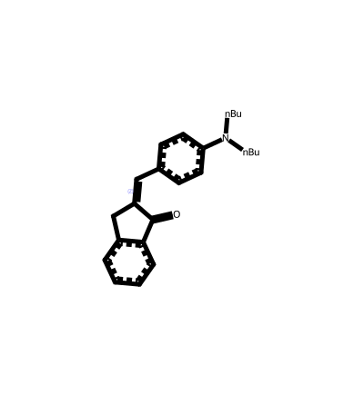 CCCCN(CCCC)c1ccc(/C=C2/Cc3ccccc3C2=O)cc1